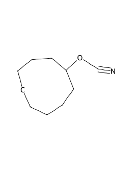 N#COC1CCCCCCCC1